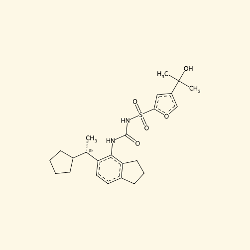 C[C@H](c1ccc2c(c1NC(=O)NS(=O)(=O)c1cc(C(C)(C)O)co1)CCC2)C1CCCC1